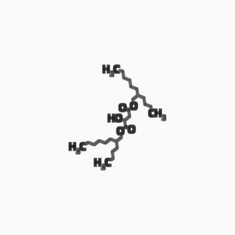 CCCCCCC(CCCC)COC(=O)CC(O)C(=O)OCC(CCCC)CCCCCC